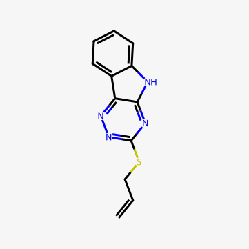 C=CCSc1nnc2c(n1)[nH]c1ccccc12